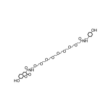 O=C(CCOCCOCCOCCOCCOCCOCCOCCOCCNC(=O)c1cc2ccc(O)cc2oc1=O)NCCc1ccc(O)cc1